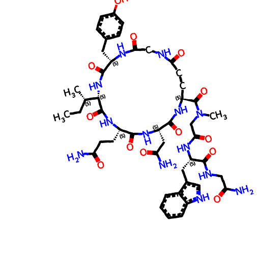 CC[C@H](C)[C@@H]1NC(=O)[C@H](Cc2ccc(O)cc2)NC(=O)CNC(=O)CC[C@@H](C(=O)N(C)CC(=O)N[C@@H](Cc2c[nH]c3ccccc23)C(=O)NCC(N)=O)NC(=O)[C@H](CC(N)=O)NC(=O)[C@H](CCC(N)=O)NC1=O